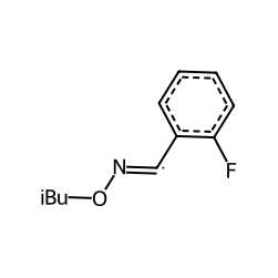 CCC(C)O/N=[C]/c1ccccc1F